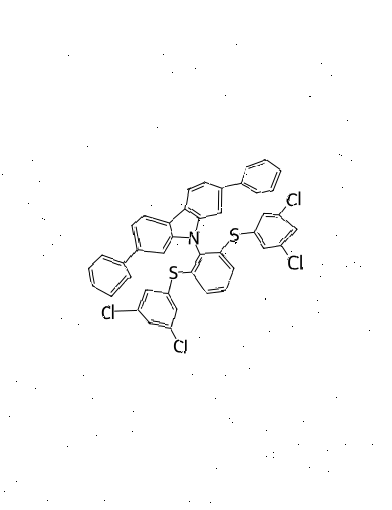 Clc1cc(Cl)cc(Sc2cccc(Sc3cc(Cl)cc(Cl)c3)c2-n2c3cc(-c4ccccc4)ccc3c3ccc(-c4ccccc4)cc32)c1